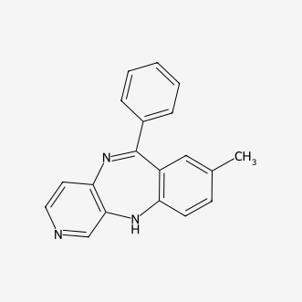 Cc1ccc2c(c1)C(c1ccccc1)=Nc1ccncc1N2